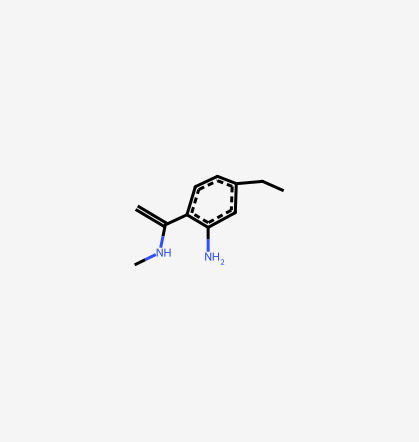 C=C(NC)c1ccc(CC)cc1N